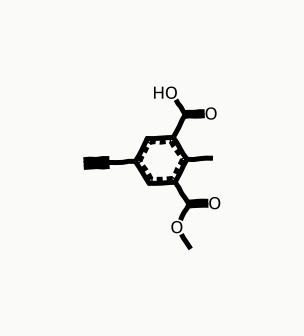 C#Cc1cc(C(=O)O)c(C)c(C(=O)OC)c1